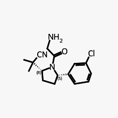 CC(C)(C#N)[C@H]1CC[C@@H](c2cccc(Cl)c2)N1C(=O)CN